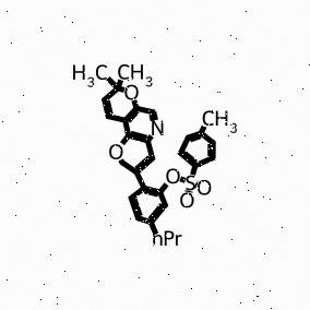 CCCc1ccc(C2=Cc3ncc4c(c3OC2)C=CC(C)(C)O4)c(OS(=O)(=O)c2ccc(C)cc2)c1